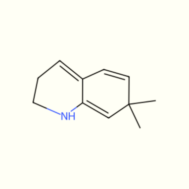 CC1(C)C=CC2=CCCNC2=C1